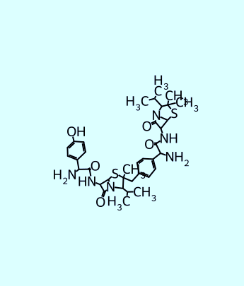 CC(C)C1N2C(=O)C(NC(=O)C(N)c3ccc(CC4(C)SC5C(NC(=O)C(N)c6ccc(O)cc6)C(=O)N5C4C(C)C)cc3)C2SC1(C)C